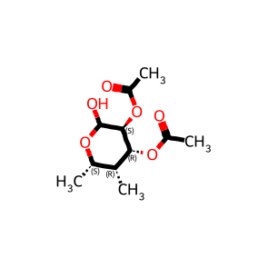 CC(=O)O[C@@H]1[C@H](C)[C@H](C)OC(O)[C@H]1OC(C)=O